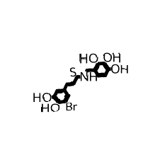 Oc1cc(/C=C/C(=S)NCc2ccc(O)c(O)c2O)cc(Br)c1O